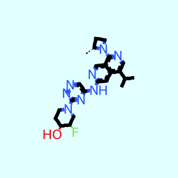 CC(C)c1cnc(N2CC[C@H]2C)c2cnc(Nc3cnnc(N4CC[C@H](O)[C@H](F)C4)n3)cc12